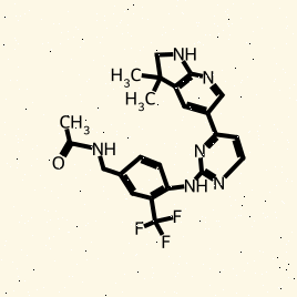 CC(=O)NCc1ccc(Nc2nccc(-c3cnc4c(c3)C(C)(C)CN4)n2)c(C(F)(F)F)c1